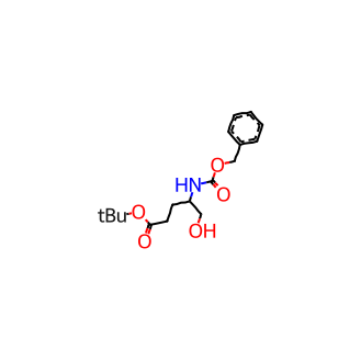 CC(C)(C)OC(=O)CCC(CO)NC(=O)OCc1ccccc1